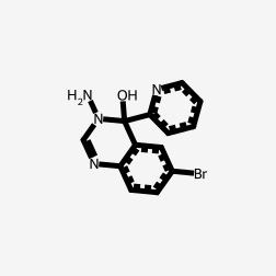 NN1C=Nc2ccc(Br)cc2C1(O)c1ccccn1